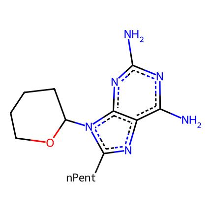 CCCCCc1nc2c(N)nc(N)nc2n1C1CCCCO1